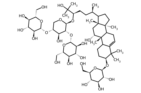 C[C@H](CC[C@@H](O[C@@H]1OC[C@@H](O[C@H]2O[C@@H](CO)[C@H](O)[C@@H](O)[C@@H]2O)[C@H](O)[C@H]1O[C@H]1O[C@@H](CO)[C@H](O)[C@@H](O)[C@@H]1O)C(C)(C)O)C1CC[C@@]2(C)C3CC=C4C(CC[C@H](O[C@@H]5O[C@H](CO)[C@@H](O)[C@H](O)[C@H]5O)C4(C)C)[C@]3(C)[C@H](O)C[C@]12C